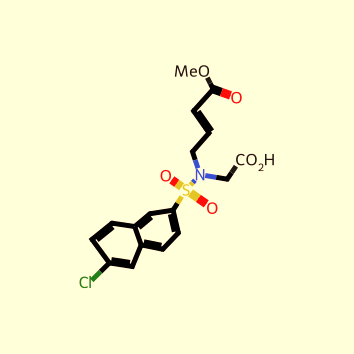 COC(=O)C=CCN(CC(=O)O)S(=O)(=O)c1ccc2cc(Cl)ccc2c1